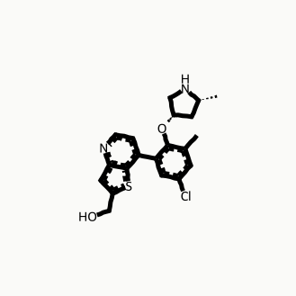 Cc1cc(Cl)cc(-c2ccnc3cc(CO)sc23)c1O[C@@H]1CN[C@H](C)C1